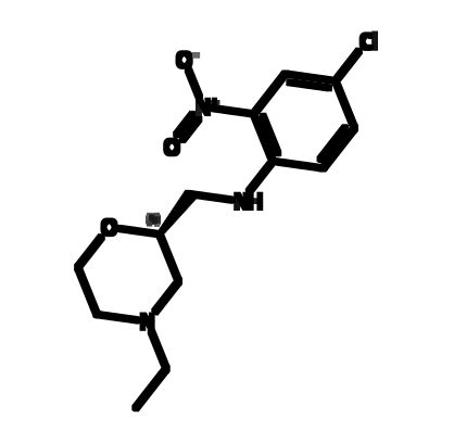 CCN1CCO[C@@H](CNc2ccc(Cl)cc2[N+](=O)[O-])C1